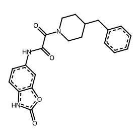 O=C(Nc1ccc2[nH]c(=O)oc2c1)C(=O)N1CCC(Cc2ccccc2)CC1